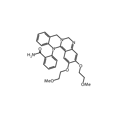 COCCOc1cc2c(cc1OCCOC)=C1N(CN=2)Cc2ccccc2N1c1ccccc1C(N)=O